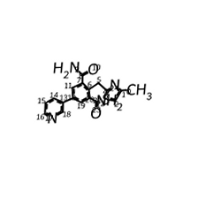 Cc1csc(Cc2c(C(N)=O)cc(-c3cccnc3)cc2C(N)=O)n1